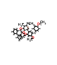 CCOc1ccc(Cc2cc([C@@H]3S[C@H](CC)[C@@H](C)[C@H](OCc4ccccc4)[C@H]3OCc3ccccc3)c(OC)cc2OC)cc1